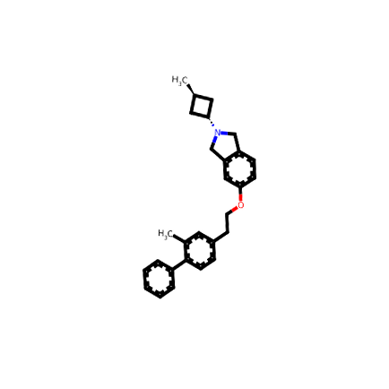 Cc1cc(CCOc2ccc3c(c2)CN([C@H]2C[C@H](C)C2)C3)ccc1-c1ccccc1